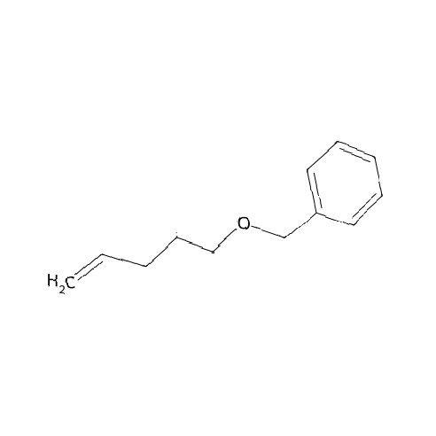 C=CC[CH]COCc1ccccc1